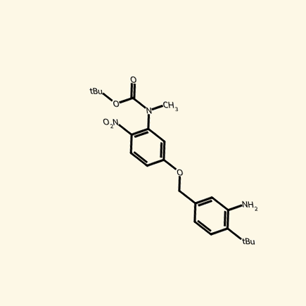 CN(C(=O)OC(C)(C)C)c1cc(OCc2ccc(C(C)(C)C)c(N)c2)ccc1[N+](=O)[O-]